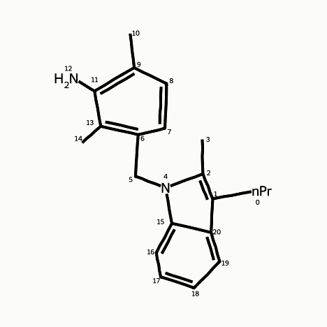 CCCc1c(C)n(Cc2ccc(C)c(N)c2C)c2ccccc12